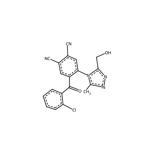 Cc1nnc(CO)n1-c1cc(C#N)c(C#N)cc1C(=O)c1ccccc1Cl